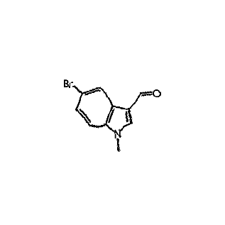 Cn1cc(C=O)c2cc(Br)ccc21